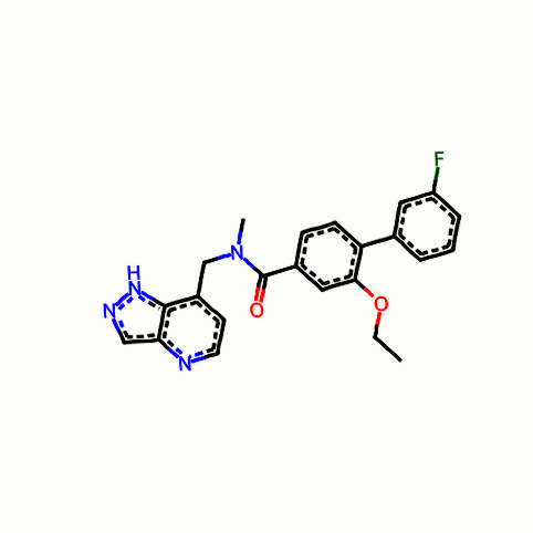 CCOc1cc(C(=O)N(C)Cc2ccnc3cn[nH]c23)ccc1-c1cccc(F)c1